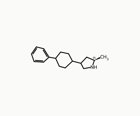 C[C@@H]1CC(C2CCC(c3ccccc3)CC2)CN1